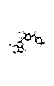 CNc1nc(Nc2ccc(C(=O)N3CCC(F)(F)CC3)cc2OC)nc2[nH]cc(C#N)c12